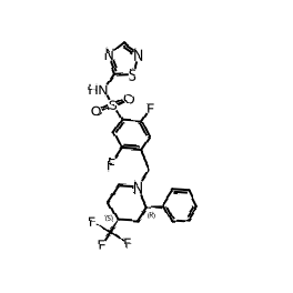 O=S(=O)(Nc1ncns1)c1cc(F)c(CN2CC[C@H](C(F)(F)F)C[C@@H]2c2ccccc2)cc1F